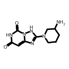 NC1CCCN(c2nc3cc(=O)[nH]c(=O)n3[nH]2)C1